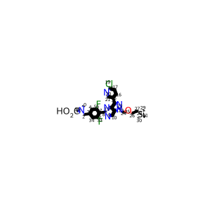 CN(Cc1cc(F)c(-c2ncc3c(n2)c(-c2ccc(Cl)nc2)nn3COCC[Si](C)(C)C)c(F)c1)C(=O)O